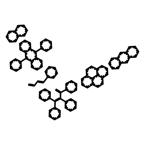 C=C(C(=C(c1ccccc1)c1ccccc1)c1ccccc1)c1ccccc1.C=CC=Cc1ccccc1.c1cc2ccc3cccc4ccc(c1)c2c34.c1ccc(-c2c3ccccc3c(-c3ccccc3)c3ccccc23)cc1.c1ccc2cc3ccccc3cc2c1.c1ccc2ccccc2c1